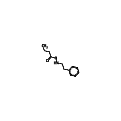 CCCC(=O)ONCCc1ccccc1